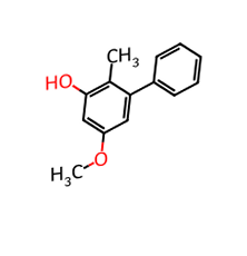 COc1cc(O)c(C)c(-c2ccccc2)c1